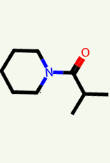 CC(C)C(=O)N1[CH]CCCC1